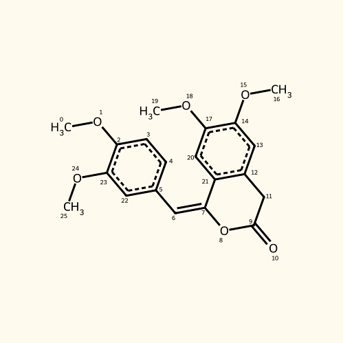 COc1ccc(/C=C2/OC(=O)Cc3cc(OC)c(OC)cc32)cc1OC